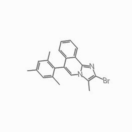 Cc1cc(C)c(-c2cn3c(C)c(Br)nc3c3ccccc23)c(C)c1